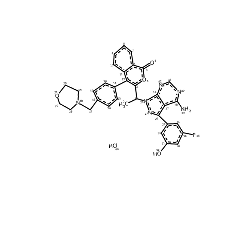 CC(c1oc(=O)c2ccccc2c1-c1ccc(CN2CCOCC2)cc1)n1nc(-c2cc(O)cc(F)c2)c2c(N)ncnc21.Cl